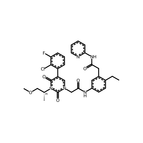 CCc1ccc(NC(=O)Cn2cc(-c3cccc(F)c3Cl)c(=O)n([C@H](C)COC)c2=O)cc1CC(=O)Nc1ccccn1